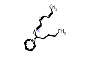 C\C=C/C=C\C=N\C(CCCC)[n+]1ccccc1